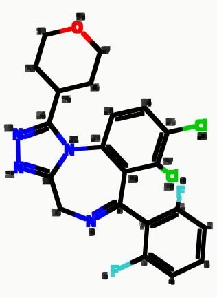 Fc1cccc(F)c1C1=NCc2nnc(C3CCOCC3)n2-c2ccc(Cl)c(Cl)c21